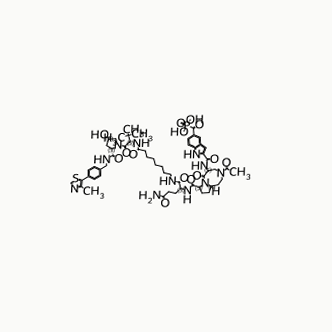 CC(=O)N1CC[C@H]2CC[C@@H](C(=O)N[C@@H](CCC(N)=O)C(=O)NCCCCCCCC(=O)N[C@H](C(=O)N3C[C@H](O)C[C@H]3C(=O)NCc3ccc(-c4scnc4C)cc3)C(C)(C)C)N2C(=O)[C@@H](NC(=O)c2cc3cc(C(=O)P(=O)(O)O)ccc3[nH]2)C1